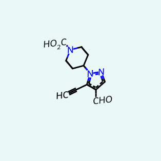 C#Cc1c(C=O)cnn1C1CCN(C(=O)O)CC1